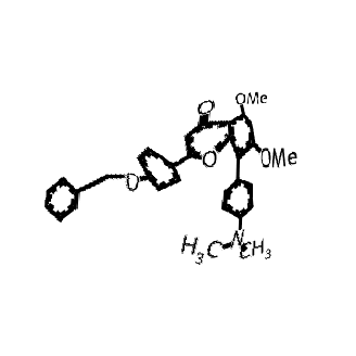 COc1cc(OC)c2c(=O)cc(-c3ccc(OCc4ccccc4)cc3)oc2c1-c1ccc(N(C)C)cc1